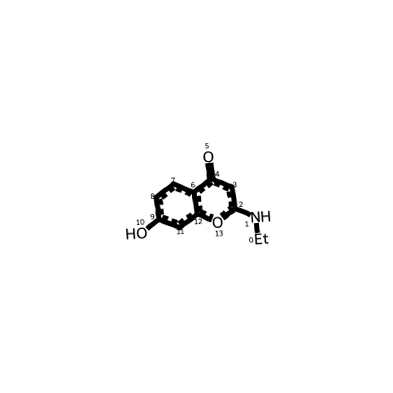 CCNc1cc(=O)c2ccc(O)cc2o1